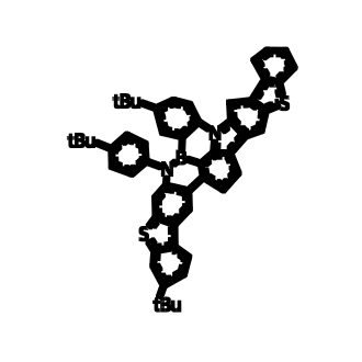 CC(C)(C)c1ccc(N2B3c4cc(C(C)(C)C)ccc4-n4c5cc6c(cc5c5ccc(c3c54)-c3cc4c(cc32)sc2cc(C(C)(C)C)ccc24)sc2ccccc26)cc1